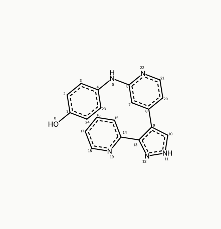 Oc1ccc(Nc2cc(-c3c[nH]nc3-c3ccccn3)ccn2)cc1